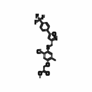 COC(=O)COc1cc(Cl)c(SCc2cc(-c3ccc(C(F)(F)F)cc3)on2)cc1C